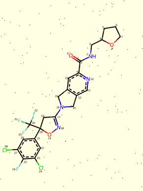 O=C(NCC1CCCO1)c1cc2c(cn1)CN(C1=NOC(c3cc(Cl)c(F)c(Cl)c3)(C(F)(F)F)C1)C2